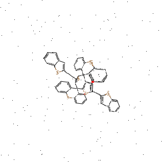 c1ccc2c(c1)Sc1ccccc1C21c2cc(-c3cc4ccccc4s3)sc2C2(c3ccccc3Sc3ccccc32)c2cc(-c3cc4ccccc4s3)sc21